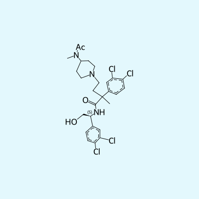 CC(=O)N(C)C1CCN(CCC(C)(C(=O)N[C@H](CO)c2ccc(Cl)c(Cl)c2)c2ccc(Cl)c(Cl)c2)CC1